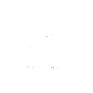 C1CCCCC1.N.O=CCC(O)C=O